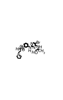 C[C@H](CO)Nc1nc(Nc2cccc(S(=O)(=O)NCCN3CCCC3)c2)ncc1Br